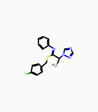 CC(C(=Nc1ccccc1)SCc1ccc(Cl)cc1)n1cncn1